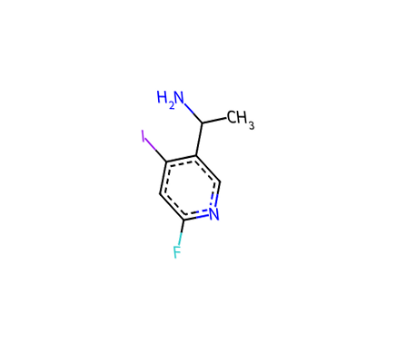 CC(N)c1cnc(F)cc1I